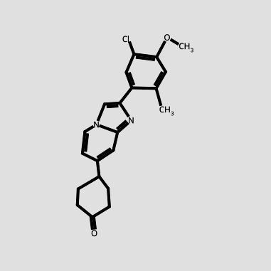 COc1cc(C)c(-c2cn3ccc(C4CCC(=O)CC4)cc3n2)cc1Cl